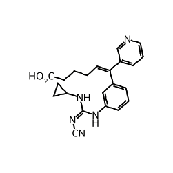 N#C/N=C(\Nc1cccc(/C(=C\CCCC(=O)O)c2cccnc2)c1)NC1CC1